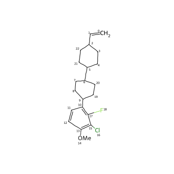 C=CC1CCC(C2CCC(c3ccc(OC)c(Cl)c3F)CC2)CC1